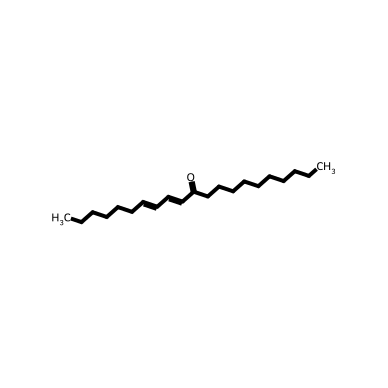 CCCCCC/C=C/C=C/C(=O)CCCCCCCCCC